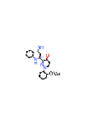 COc1ccccc1-n1ccc(=O)c(/C(=C/C=N)Nc2ccccc2)n1